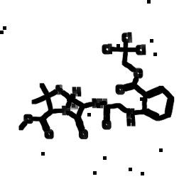 COC(=O)C1N2C(=O)C(NC(=O)CNc3ccccc3C(=O)OCC(Cl)(Cl)Cl)[C@H]2SC1(C)C